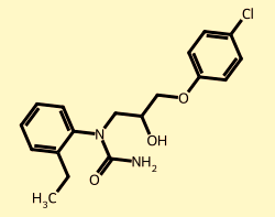 CCc1ccccc1N(CC(O)COc1ccc(Cl)cc1)C(N)=O